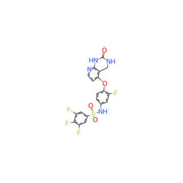 O=C1NCc2c(Oc3ccc(NS(=O)(=O)c4cc(F)c(F)c(F)c4)cc3F)ccnc2N1